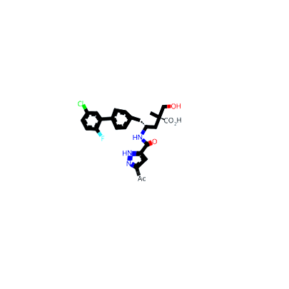 CC(=O)c1cc(C(=O)N[C@H](Cc2ccc(-c3cc(Cl)ccc3F)cc2)C[C@@](C)(CO)C(=O)O)[nH]n1